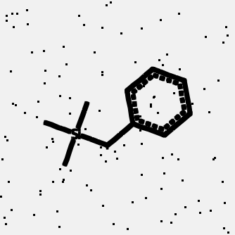 C[Si](C)(C)[CH]c1ccccc1